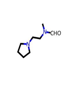 CN(C=O)CCN1CCCC1